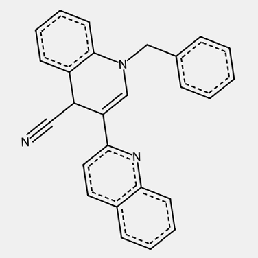 N#CC1C(c2ccc3ccccc3n2)=CN(Cc2ccccc2)c2ccccc21